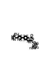 CCCCOP(=O)(OCCCC)OC[C@@H]1OC(=O)N2c3ccc(-c4ccc(-c5nnnn5C)nc4)cc3C[C@@H]12